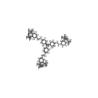 FC(F)(F)c1ccc(/C=C/c2ccc(N(c3ccc(/C=C/c4ccc(C(F)(F)F)c(C(F)(F)F)c4)cc3)c3ccc(/C=C/c4ccc(C(F)(F)F)c(C(F)(F)F)c4)cc3)cc2)cc1C(F)(F)F